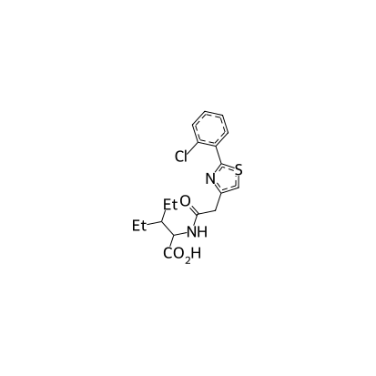 CCC(CC)C(NC(=O)Cc1csc(-c2ccccc2Cl)n1)C(=O)O